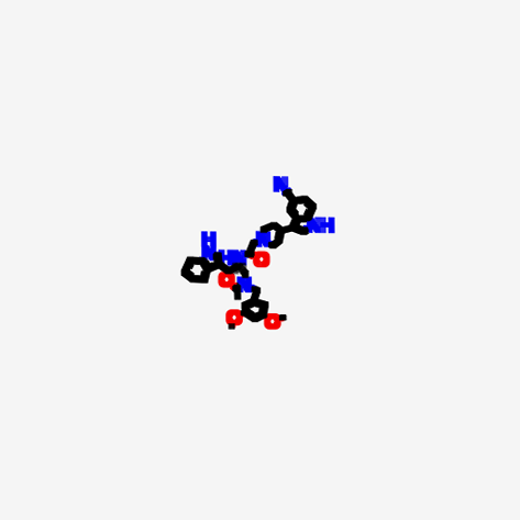 COc1cc(CN(C[C@@H](Cc2c[nH]c3ccccc23)NC(=O)CN2CC=C(c3c[nH]c4ccc(C#N)cc34)CC2)C(C)=O)cc(OC)c1